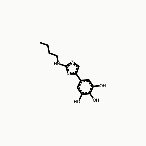 CCCCNc1nc(-c2cc(O)c(O)c(O)c2)cs1